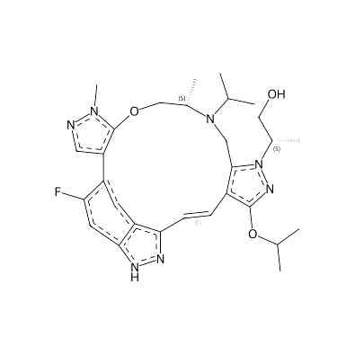 CC(C)Oc1nn([C@@H](C)CO)c2c1/C=C/c1n[nH]c3cc(F)c(cc13)-c1cnn(C)c1OC[C@H](C)N(C(C)C)C2